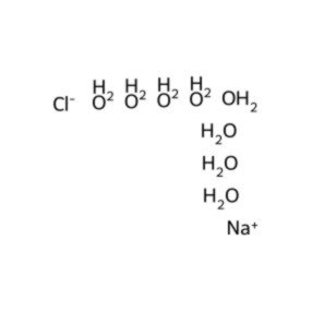 O.O.O.O.O.O.O.O.[Cl-].[Na+]